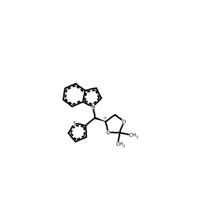 CC1(C)OC[C@H](C(c2cccs2)n2ccc3ccccc32)O1